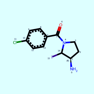 N[C@@H]1CCN(C(=O)c2ccc(Cl)cc2)C1I